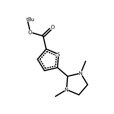 CN1CCN(C)C1c1ccc(C(=O)OC(C)(C)C)s1